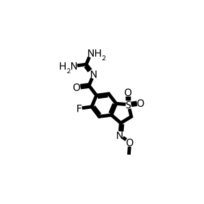 CO/N=C1\CS(=O)(=O)c2cc(C(=O)N=C(N)N)c(F)cc21